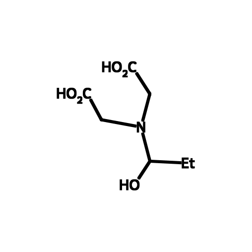 CCC(O)N(CC(=O)O)CC(=O)O